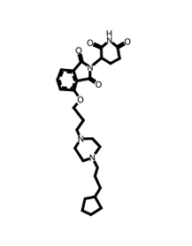 O=C1CCC(N2C(=O)c3cccc(OCCCN4CCN(CCCC5CCCC5)CC4)c3C2=O)C(=O)N1